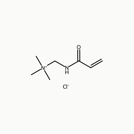 C=CC(=O)NC[N+](C)(C)C.[Cl-]